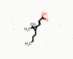 CCCCC1C(/C=C/C(=O)O)C1(C)C